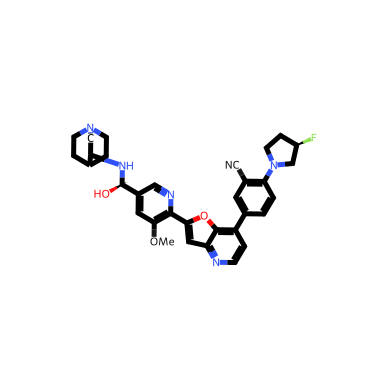 COc1cc([C@@H](O)NC2CN3CCC2CC3)cnc1-c1cc2nccc(-c3ccc(N4CC[C@@H](F)C4)c(C#N)c3)c2o1